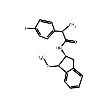 CSC1c2ccccc2C[C@@H]1NC(=O)C(C)c1ccc(F)cc1